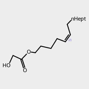 CCCCCCCC/C=C\CCCCOC(=O)CO